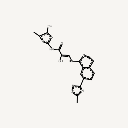 Cc1nc(-c2ccc3ccnc(NC=C(O)C(=O)Nc4nc(C)c(C(C)(C)C)s4)c3c2)no1